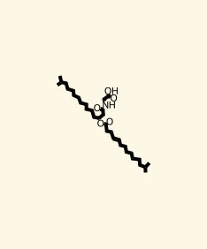 CC(C)CCCCCCCC=CCCC(=O)OC(CCCCCCCCCCC(C)C)CC(=O)NCC(=O)O